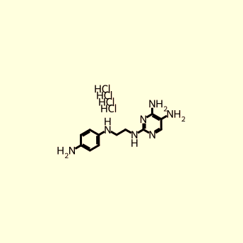 Cl.Cl.Cl.Cl.Nc1ccc(NCCNc2ncc(N)c(N)n2)cc1